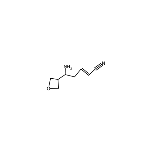 N#CC=CCC(N)C1COC1